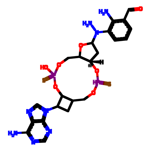 Nc1c(C=O)cccc1N(N)C1C[C@@H]2O[PH](=S)OCC3CC(n4cnc5c(N)ncnc54)C3OP(O)(=S)OCC2O1